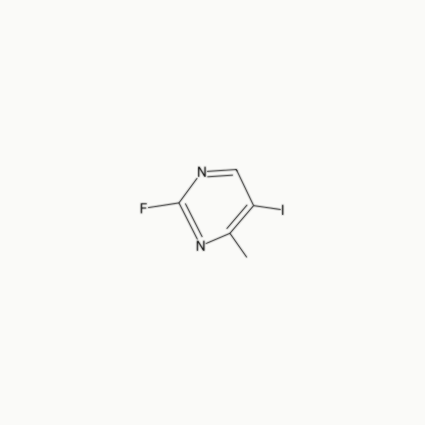 Cc1nc(F)ncc1I